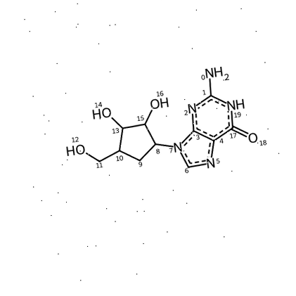 Nc1nc2c(ncn2C2CC(CO)C(O)C2O)c(=O)[nH]1